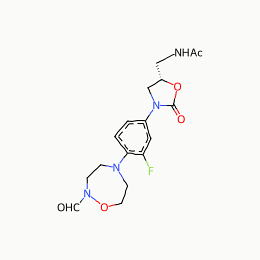 CC(=O)NC[C@H]1CN(c2ccc(N3CCON(C=O)CC3)c(F)c2)C(=O)O1